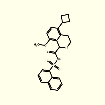 COc1ccc(C2CCC2)c2c1C(C(=O)NS(=O)(=O)c1cccc3ccccc13)OCC2